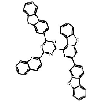 c1ccc2cc(C3=NC(c4cc(-c5ccc6c(c5)oc5ccccc56)cc5oc6ccccc6c45)NC(c4ccc5c(c4)oc4ccccc45)=N3)ccc2c1